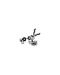 CCCCN(CCCC)C(=O)CN1C[C@H](c2ccc3c(c2)OCO3)[C@@H](C=O)[C@@H]1CCNS(C)(=O)=O